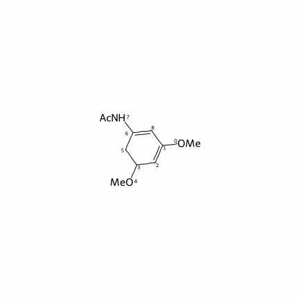 COC1=CC(OC)CC(NC(C)=O)=C1